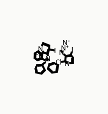 Clc1nccc(I)c1N=P(c1ccccc1)(c1ccccc1)c1ccccc1.[N-]=[N+]=Nc1c(I)ccnc1Cl